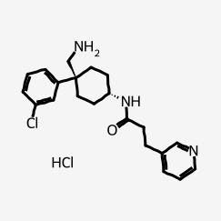 Cl.NC[C@]1(c2cccc(Cl)c2)CC[C@@H](NC(=O)CCc2cccnc2)CC1